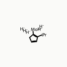 CC(C)C1=[C]([Mo+5])CC=C1.[H-].[H-].[H-].[H-].[H-]